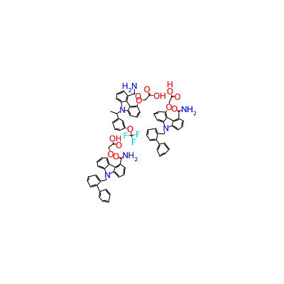 CC(c1cccc(OC(F)(F)F)c1)n1c2cccc(OCC(=O)O)c2c2c(C(N)=O)cccc21.NC(=O)c1cccc2c1c1c(OCC(=O)O)cccc1n2Cc1ccccc1-c1ccccc1.NC(=O)c1cccc2c1c1c(OCC(=O)O)cccc1n2Cc1ccccc1-c1ccccc1